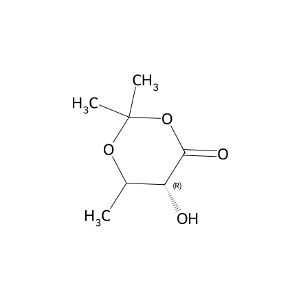 CC1OC(C)(C)OC(=O)[C@@H]1O